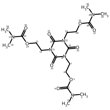 CN(C)C(=O)OCCn1c(=O)n(CCOC(=O)N(C)C)c(=O)n(CCOC(=O)N(C)C)c1=O